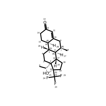 CC[C@]12CC[C@H]3[C@@H]([C@H](C)CC4=CC(=O)CC[C@@H]43)[C@@H]1CC[C@@]2(O)C(F)(F)F